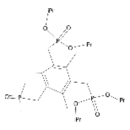 Cc1c(CP(C)(C)=O)c(C)c(CP(=O)(OC(C)C)OC(C)C)c(C)c1CP(=O)(OC(C)C)OC(C)C